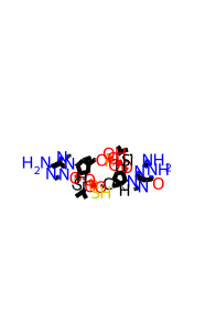 CC(C)(C)[Si](C)(C)OC1[C@H](n2cnc3c(N)ncnc32)C2C[C@]23COP(=O)(O)O[C@H]2C(O[Si](C)(C)C(C)(C)C)[C@H](n4cnc5c(=O)[nH]c(N)nc54)[C@H]4C[C@]42COP(=O)(S)O[C@@H]13